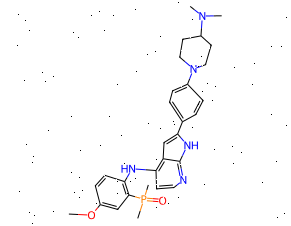 COc1ccc(Nc2ccnc3[nH]c(-c4ccc(N5CCC(N(C)C)CC5)cc4)cc23)c(P(C)(C)=O)c1